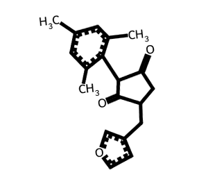 Cc1cc(C)c(C2C(=O)CC(Cc3ccoc3)C2=O)c(C)c1